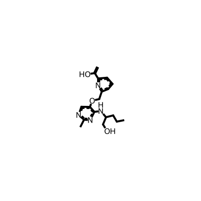 C=C(O)c1cccc(COc2cnc(C)nc2NC(CO)CCC)n1